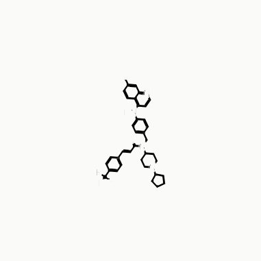 O=C(C=Cc1ccc(C(F)(F)F)cc1)N(Cc1ccc(Nc2ccnc3cc(Cl)ccc23)cc1)C1CCN(C2CCCC2)CC1